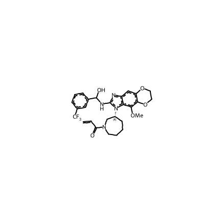 C=CC(=O)N1CCCC[C@@H](n2c(NC(O)c3cccc(C(F)(F)F)c3)nc3cc4c(c(OC)c32)OCCO4)C1